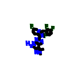 Cc1nn(C)c(C)c1-c1cnc(-c2nc(Cc3c(F)ccc(F)c3F)n3cc(F)ccc23)nc1N